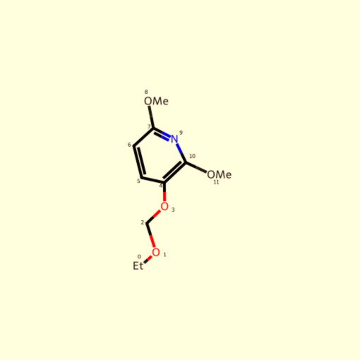 CCOCOc1ccc(OC)nc1OC